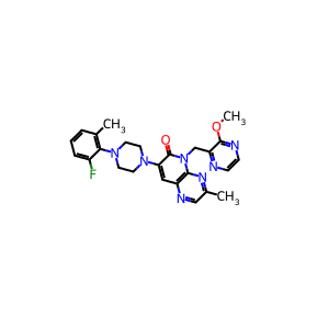 COc1nccnc1Cn1c(=O)c(N2CCN(c3c(C)cccc3F)CC2)cc2ncc(C)nc21